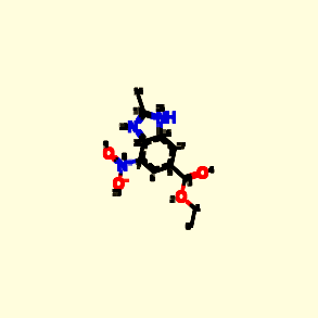 CCOC(=O)c1cc([N+](=O)[O-])c2nc(C)[nH]c2c1